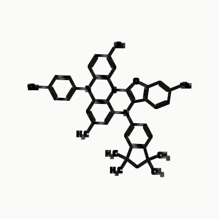 Cc1cc2c3c(c1)N(c1ccc4c(c1)C(C)(C)CC4(C)C)c1c(oc4cc(C(C)(C)C)ccc14)B3c1cc(C(C)(C)C)ccc1N2c1ccc(C(C)(C)C)cc1